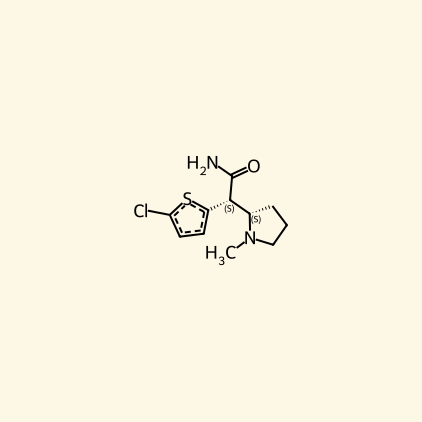 CN1CCC[C@H]1[C@@H](C(N)=O)c1ccc(Cl)s1